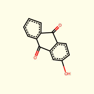 O=C1c2[c]c(O)ccc2C(=O)c2ccccc21